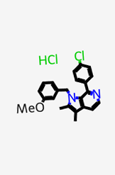 COc1cccc(Cn2c(C)c(C)c3ccnc(-c4ccc(Cl)cc4)c32)c1.Cl